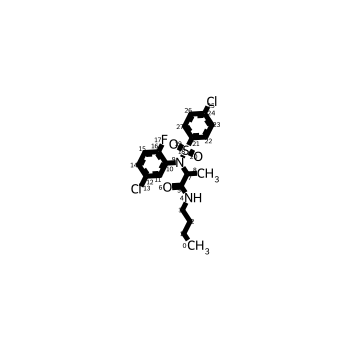 CCCCNC(=O)C(C)N(c1cc(Cl)ccc1F)S(=O)(=O)c1ccc(Cl)cc1